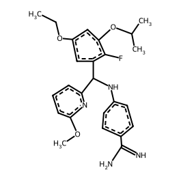 CCOc1cc(OC(C)C)c(F)c(C(Nc2ccc(C(=N)N)cc2)c2cccc(OC)n2)c1